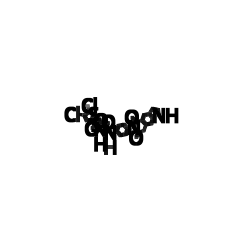 O=C(Nc1ccc(N2C(=O)Cc3cc4c(cc3C2=O)CCN4)cc1)NS(=O)(=O)c1cc(Cl)c(Cl)s1